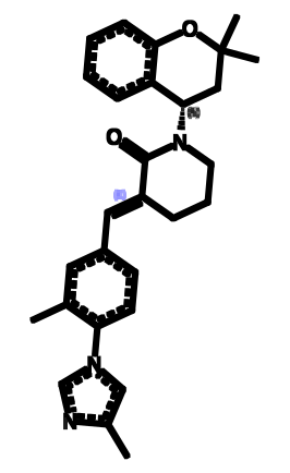 Cc1cn(-c2ccc(/C=C3\CCCN([C@H]4CC(C)(C)Oc5ccccc54)C3=O)cc2C)cn1